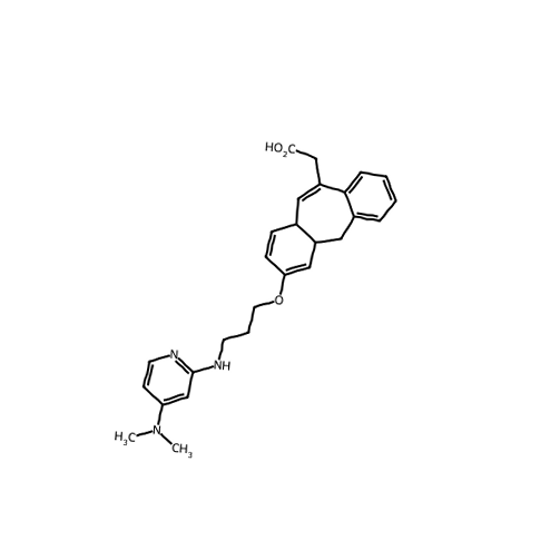 CN(C)c1ccnc(NCCCOC2=CC3Cc4ccccc4C(CC(=O)O)=CC3C=C2)c1